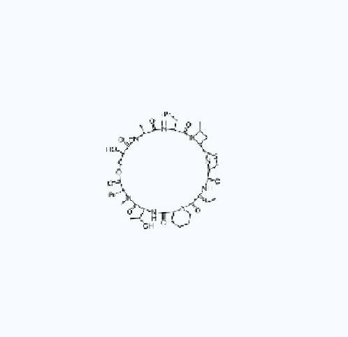 C/C=C1\NC(=O)C2CSC(=N2)C2CC(C)N2C(=O)C(CC(C)C)NC(=O)C(C)NC(=O)C(O)COC(=O)C(C(C)C)N(C)C(=O)C(C(C)O)NC(=O)C2CCCCN2C1=O